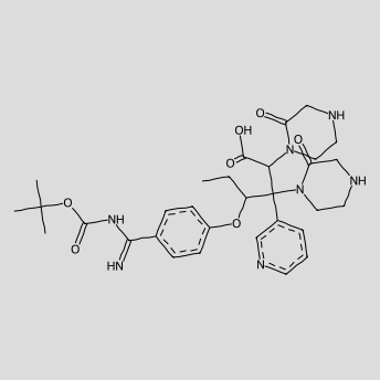 CCC(Oc1ccc(C(=N)NC(=O)OC(C)(C)C)cc1)C(c1cccnc1)(C(C(=O)O)N1CCNCC1=O)N1CCNCC1=O